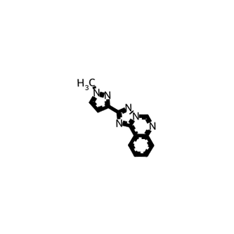 Cn1ccc(-c2nc3c4ccccc4ncn3n2)n1